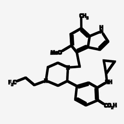 COc1cc(C)c2[nH]ccc2c1CN1CCN(CCC(F)(F)F)CC1c1ccc(C(=O)O)c(NC2CC2)c1